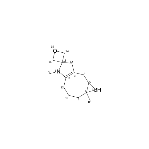 CN1C2=C(CC3BC3(C)CCC2)CC12COC2